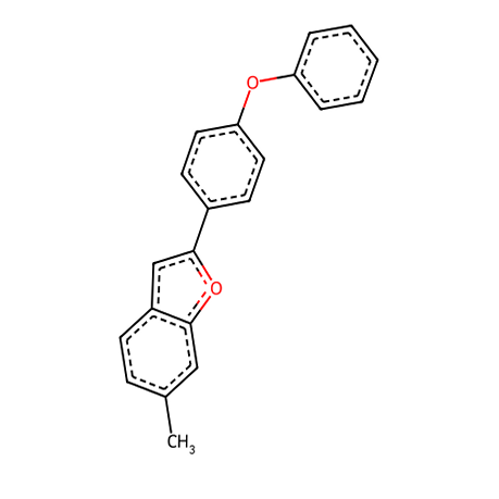 Cc1ccc2cc(-c3ccc(Oc4ccccc4)cc3)oc2c1